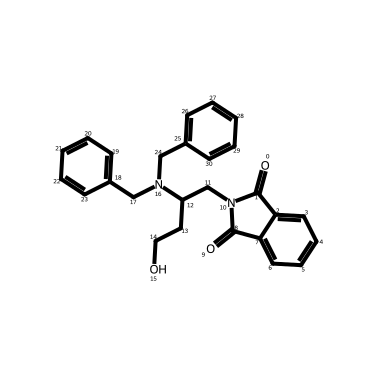 O=C1c2ccccc2C(=O)N1CC(CCO)N(Cc1ccccc1)Cc1ccccc1